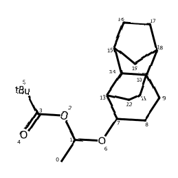 CC(OC(=O)C(C)(C)C)OC1CCC23CCC1C2C1CCC3C1